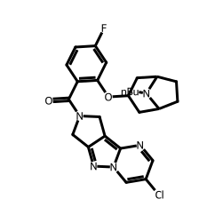 CCCCN1C2CCC1CC(Oc1cc(F)ccc1C(=O)N1Cc3nn4cc(Cl)cnc4c3C1)C2